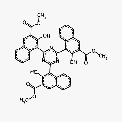 COC(=O)c1cc2ccccc2c(-c2nc(-c3c(O)c(C(=O)OC)cc4ccccc34)nc(-c3c(O)c(C(=O)OC)cc4ccccc34)n2)c1O